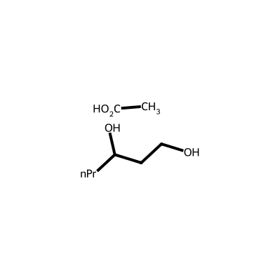 CC(=O)O.CCCC(O)CCO